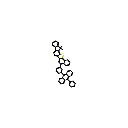 CC1(C)c2ccccc2-c2ccc3c(sc4c5ccccc5c(-c5cccc(-c6c7ccccc7c(-c7ccccc7)c7ccccc67)c5)cc34)c21